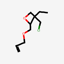 C=CCOCC1OCC1(CC)CCl